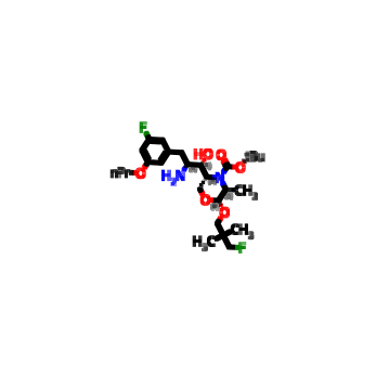 CCCOc1cc(F)cc(C[C@H](N)[C@H](O)[C@H]2CO[C@@H](OCC(C)(C)CF)[C@H](C)N2C(=O)OC(C)(C)C)c1